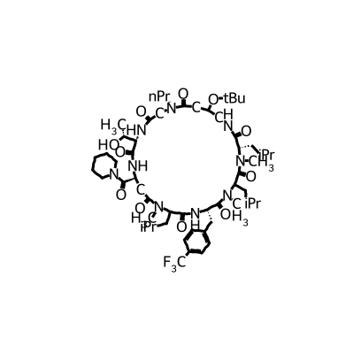 CCCN1CC(=O)N[C@@H]([C@@H](C)O)C(=O)N[C@H](C(=O)N2CCCCC2)CC(=O)N(C)C(CC(C)C)C(=O)N[C@@H](Cc2ccc(C(F)(F)F)cc2)C(=O)N(C)C(CC(C)C)C(=O)N(C)[C@@H](CC(C)C)C(=O)NCC(OC(C)(C)C)CC1=O